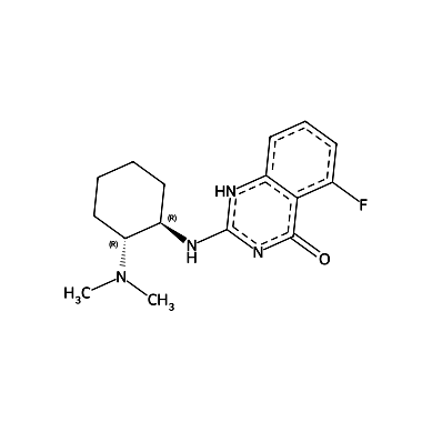 CN(C)[C@@H]1CCCC[C@H]1Nc1nc(=O)c2c(F)cccc2[nH]1